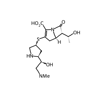 CNC[C@H](O)[C@@H]1C[C@H](SC2=C(C(=O)O)N3C(=O)[C@H]([C@@H](C)O)[C@H]3C2)CN1